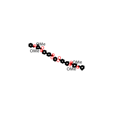 COc1cc(C(=O)Oc2ccc(-c3ccc(C(=O)Oc4ccc(OC(=O)c5ccc(-c6ccc(OC(=O)c7cc(OC)c(OCc8ccccc8)cc7OC)cc6)cc5)cc4)cc3)cc2)c(OC)cc1OCc1ccccc1